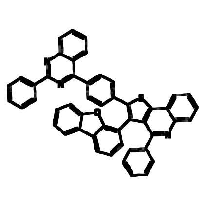 c1ccc(-c2nc(-c3ccc(-c4sc5c(c(-c6ccccc6)nc6ccccc65)c4-c4cccc5c4oc4ccccc45)cc3)c3ccccc3n2)cc1